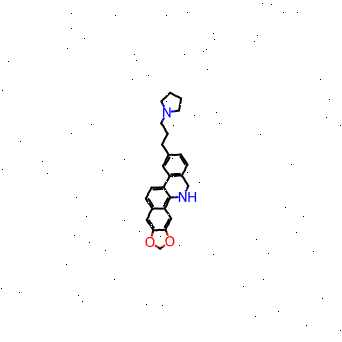 c1cc2c(cc1CCCN1CCCC1)-c1ccc3cc4c(cc3c1NC2)OCO4